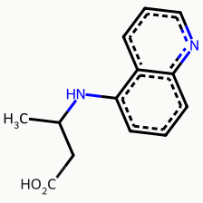 CC(CC(=O)O)Nc1cccc2ncccc12